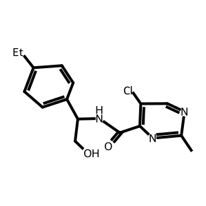 CCc1ccc(C(CO)NC(=O)c2nc(C)ncc2Cl)cc1